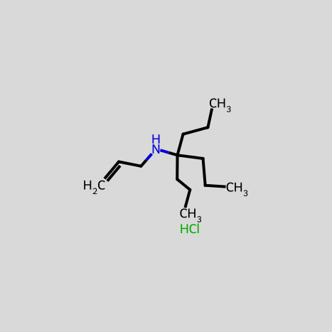 C=CCNC(CCC)(CCC)CCC.Cl